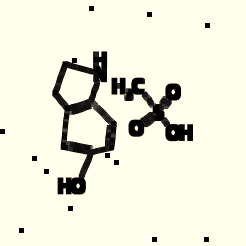 CS(=O)(=O)O.Oc1ccc2c(c1)CCN2